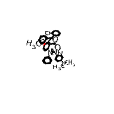 COc1ccc(N(Nc2ccc(N(C)C)cc2)c2ccccc2)c2c1C1(OC2=O)c2ccccc2Oc2ccccc21